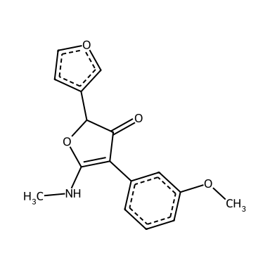 CNC1=C(c2cccc(OC)c2)C(=O)C(c2ccoc2)O1